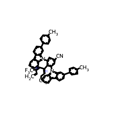 C=C/C(=C\C(=C/CC(F)(F)F)c1c(-n2c3ccccc3c3ccc(-c4ccc(C)cc4)cc32)cc(C#N)cc1-n1c2ccccc2c2ccc(-c3ccc(C)cc3)cc21)C(F)(F)F